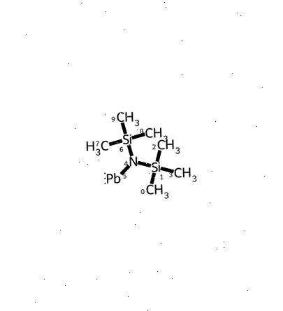 C[Si](C)(C)[N]([Pb])[Si](C)(C)C